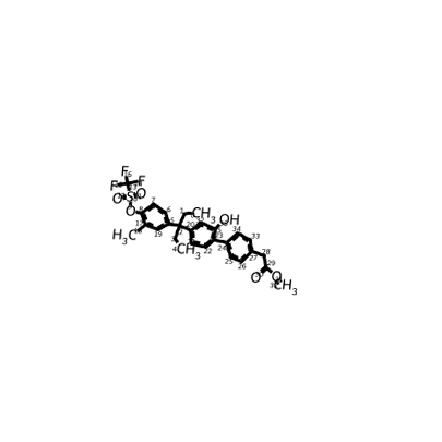 CCC(CC)(c1ccc(OS(=O)(=O)C(F)(F)F)c(C)c1)c1ccc(-c2ccc(CC(=O)OC)cc2)c(O)c1